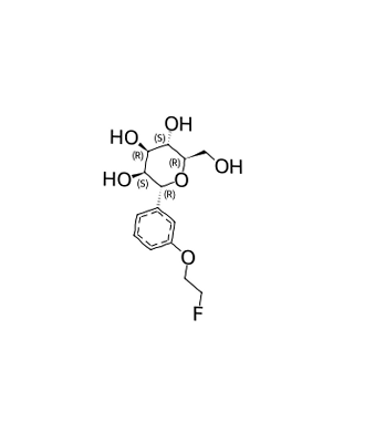 OC[C@H]1O[C@H](c2cccc(OCCF)c2)[C@@H](O)[C@@H](O)[C@@H]1O